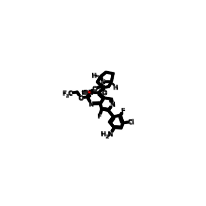 CC(C)(C)OC(=O)N1[C@@H]2CC[C@H]1CN(c1nc(OCC(F)(F)F)nc3c(F)c(-c4cc(N)cc(Cl)c4F)ncc13)C2